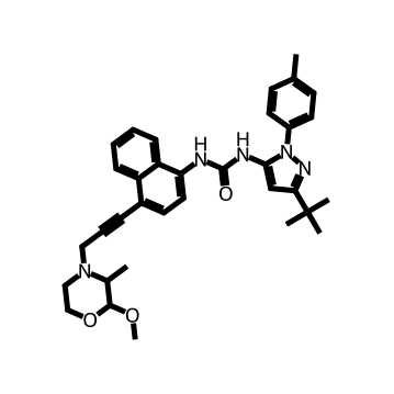 COC1OCCN(CC#Cc2ccc(NC(=O)Nc3cc(C(C)(C)C)nn3-c3ccc(C)cc3)c3ccccc23)C1C